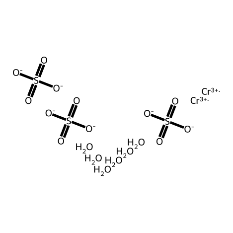 O.O.O.O.O.O.O=S(=O)([O-])[O-].O=S(=O)([O-])[O-].O=S(=O)([O-])[O-].[Cr+3].[Cr+3]